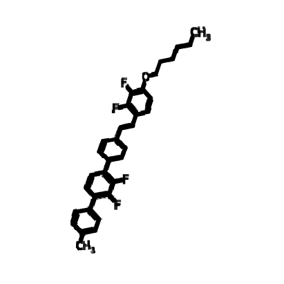 CCCCCCOc1ccc(/C=C/c2ccc(-c3ccc(-c4ccc(C)cc4)c(F)c3F)cc2)c(F)c1F